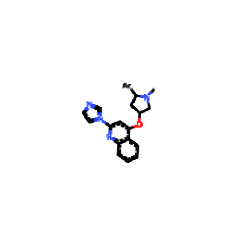 CC(=O)C1CC(Oc2cc(-n3ccnc3)nc3ccccc23)CN1C